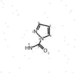 [NH]C(=O)n1cccn1